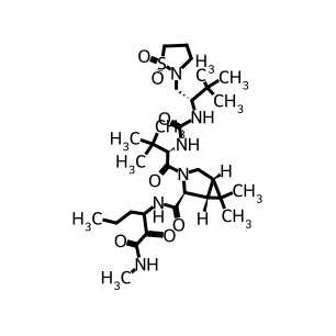 CCCC(NC(=O)[C@@H]1[C@@H]2[C@H](CN1C(=O)[C@@H](NC(=O)N[C@H](CN1CCCS1(=O)=O)C(C)(C)C)C(C)(C)C)C2(C)C)C(=O)C(=O)NC